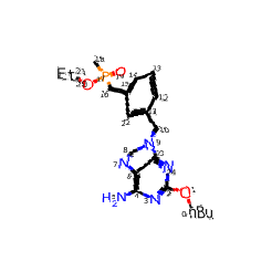 CCCCOc1nc(N)c2ncn(Cc3cccc(CP(C)(=O)OCC)c3)c2n1